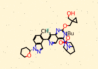 Cc1ccc2c(cnn2[C@H]2CCCCO2)c1-c1ncc2c(N3CC4CCC(C3)N4C(=O)OC(C)(C)C)nc(OCC3(CO)CC3)nc2c1F